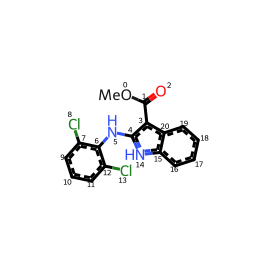 COC(=O)c1c(Nc2c(Cl)cccc2Cl)[nH]c2ccccc12